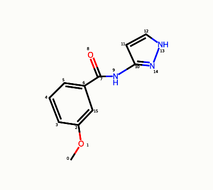 COc1cccc(C(=O)Nc2cc[nH]n2)c1